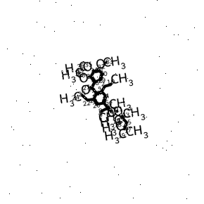 CCCc1cc(C(C)(CC)OOC(C)(C)CC(C)(C)C)cc(CCC)c1C(=O)c1ccc(OC)c(OC)c1OC